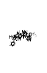 C=C(N[C@H](CO)c1ccccc1)c1ccc(-c2nc(-c3ccncc3C)cnc2N)cc1F